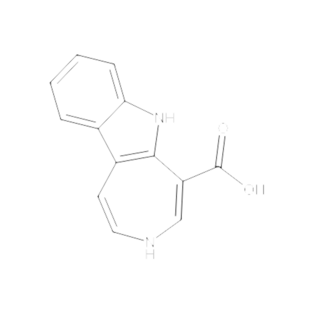 O=C(O)C1=CNC=Cc2c1[nH]c1ccccc21